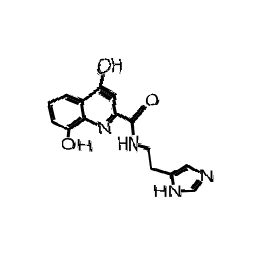 O=C(NCCc1cnc[nH]1)c1cc(O)c2cccc(O)c2n1